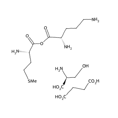 CSCC[C@H](N)C(=O)OC(=O)[C@@H](N)CCCN.N[C@@H](CO)C(=O)O.O=C(O)CCC(=O)O